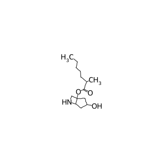 CCCCCC(C)C(=O)OC12CNC1CC(O)C2